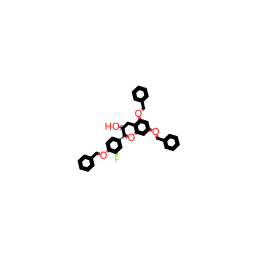 O[C@@H]1Cc2c(OCc3ccccc3)cc(OCc3ccccc3)cc2O[C@@H]1c1ccc(OCc2ccccc2)c(F)c1